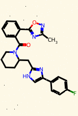 Cc1noc(-c2ccccc2C(=O)N2CCCCC2Cc2nc(-c3ccc(F)cc3)c[nH]2)n1